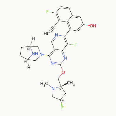 C#Cc1c(F)ccc2cc(O)cc(-c3ncc4c(N5C[C@H]6CC[C@@H](C5)N6)nc(OC[C@]5(C)C[C@@H](F)CN5C)nc4c3F)c12